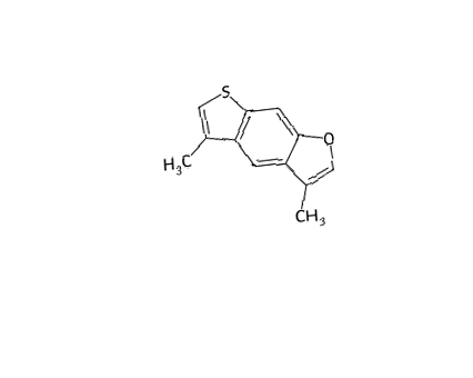 Cc1coc2cc3scc(C)c3cc12